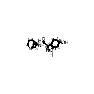 O=C(N[C@H]1CN2CCC1CC2)c1n[nH]c2cc(O)ccc12